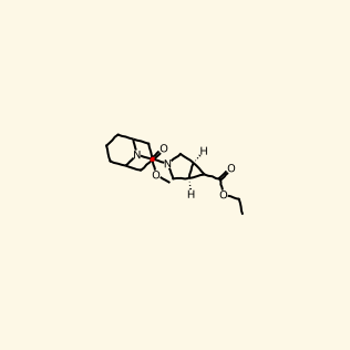 CCOC(=O)C1[C@H]2CN(C3CC4CCCC(C3)N4C(=O)OC)C[C@@H]12